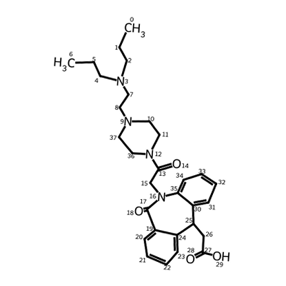 CCCN(CCC)CCN1CCN(C(=O)CN2C(=O)c3ccccc3C(CC(=O)O)c3ccccc32)CC1